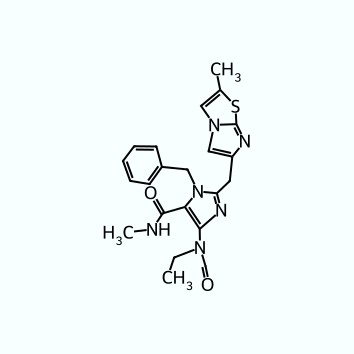 CCN(C=O)c1nc(Cc2cn3cc(C)sc3n2)n(Cc2ccccc2)c1C(=O)NC